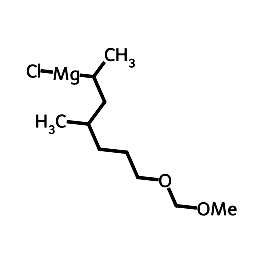 COCOCCCC(C)C[CH](C)[Mg][Cl]